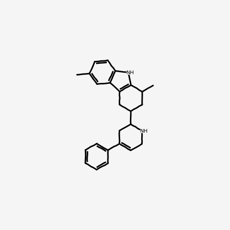 Cc1ccc2[nH]c3c(c2c1)CC(C1CC(c2ccccc2)=CCN1)CC3C